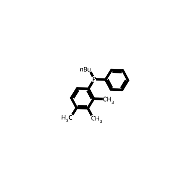 CCCCP(c1ccccc1)c1ccc(C)c(C)c1C